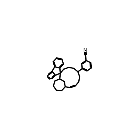 N#Cc1cccc(C2CC/C=C\C3CCCCC(C3)C3(CCC2)c2ccccc2-c2ccccc23)c1